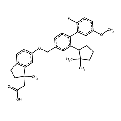 COc1ccc(F)c(-c2ccc(COc3ccc4c(c3)C(C)(CC(=O)O)CC4)cc2C2CCCC2(C)C)c1